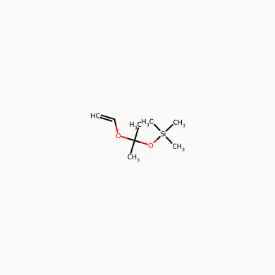 [CH]=COC(C)(C)O[Si](C)(C)C